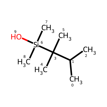 CC(C)C(C)(C)[Si](C)(C)O